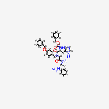 Nc1ccccc1CCNC(=O)CN(Cc1ccc(OCc2ccccc2)cc1)C(=O)C(Cc1cnc[nH]1)NC(=O)OCc1ccccc1